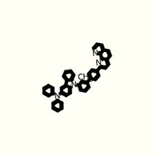 Cc1c(-c2ccc(-c3ccc4ccc5cccnc5c4n3)cc2)cccc1-n1c2ccccc2c2cc(N(c3ccccc3)c3ccccc3)ccc21